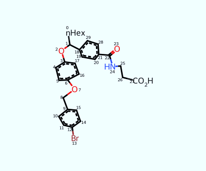 CCCCCCC(Oc1ccc(OCc2ccc(Br)cc2)cc1)c1ccc(C(=O)NCCC(=O)O)cc1